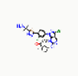 CNC(=O)[C@]1(C)CC[C@@H](Nc2ncc3c(Br)nn(-c4ccc(-c5nnc(C(C)(C)N)s5)c(F)c4)c3n2)C1